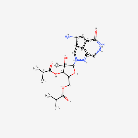 CC(C)C(=O)OCC1OC(n2cc3c(N)cc4c(=O)[nH]ncc(n2)c34)C(C)(O)C1OC(=O)C(C)C